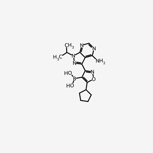 CC(C)n1nc(-c2noc(C3CCCC3)c2B(O)O)c2c(N)ncnc21